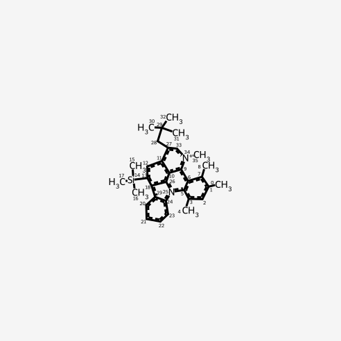 Cc1cc(C)c2c(c1C)c1c3c(cc([Si](C)(C)C)c4c5ccccc5n2c43)c(CC(C)(C)C)c[n+]1C